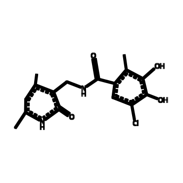 Cc1cc(C)c(CNC(=O)c2cc(Cl)c(O)c(O)c2C)c(=O)[nH]1